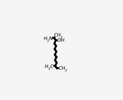 CCC(C)CCCCCCCCC(O)C(C)N